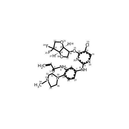 C=CC(=O)Nc1cc(Nc2ncc(Cl)c(O[C@H]3CO[C@@H]4[C@H]3OCC4(F)F)n2)ccc1N1CCN(C)CC1